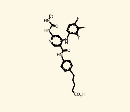 CCNC(=O)Nc1cc(Nc2ccc(F)c(F)c2F)c(C(=O)Nc2ccc(CCCCC(=O)O)cc2)cn1